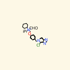 CC(C)[N+](C=O)(COc1ccc(Cn2ccc3ncnc-3c2Cl)cc1)C1CCCCC1